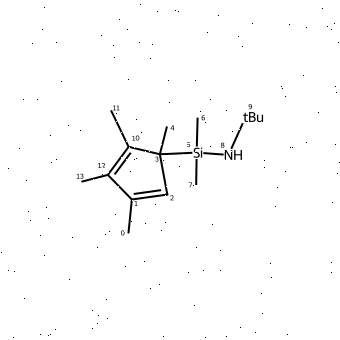 CC1=CC(C)([Si](C)(C)NC(C)(C)C)C(C)=C1C